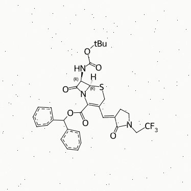 CC(C)(C)OC(=O)N[C@@H]1C(=O)N2C(C(=O)OC(c3ccccc3)c3ccccc3)=C(C=C3CCN(CC(F)(F)F)C3=O)CS[C@H]12